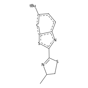 CC1CSC(c2nc3ccc(C(C)(C)C)cc3s2)=N1